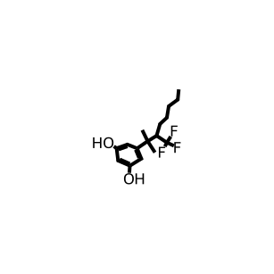 CCCCCC(C(F)(F)F)C(C)(C)c1cc(O)cc(O)c1